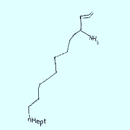 C=CC(N)CCCCCCCCCCCCCC